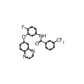 O=C(Nc1ccc(F)c(Oc2ccc3nccnc3c2)c1)c1cccc(C(F)(F)F)c1